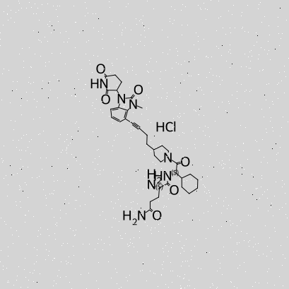 Cl.Cn1c(=O)n(C2CCC(=O)NC2=O)c2cccc(C#CCCC3CCN(C(=O)[C@@H](NC(=O)[C@@H](N)CCC(N)=O)C4CCCCC4)CC3)c21